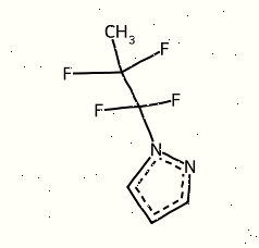 CC(F)(F)C(F)(F)n1cccn1